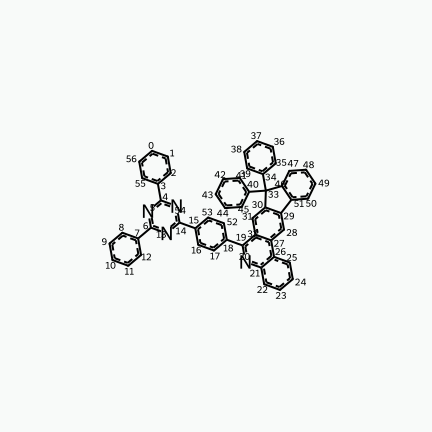 c1ccc(-c2nc(-c3ccccc3)nc(-c3ccc(-c4nc5ccccc5c5cc6c(cc45)C(c4ccccc4)(c4ccccc4)c4ccccc4-6)cc3)n2)cc1